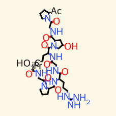 CC(=O)C1CCCN1C(=O)CNC(=O)C1CC(O)CN1C(=O)C(CCC(=O)O)NC(=O)CNC(=O)C(CCCNC(=N)N)NC(=O)C1CCCN1C(=O)CNC(=O)C(C)C